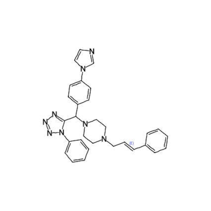 C(=C\c1ccccc1)/CN1CCN(C(c2ccc(-n3ccnc3)cc2)c2nnnn2-c2ccccc2)CC1